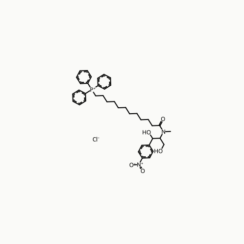 CN(C(=O)CCCCCCCCCCC[P+](c1ccccc1)(c1ccccc1)c1ccccc1)C(CO)C(O)c1ccc([N+](=O)[O-])cc1.[Cl-]